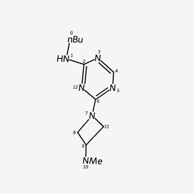 CCCCNc1ncnc(N2CC(NC)C2)n1